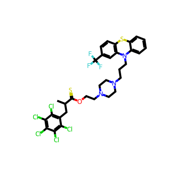 CC(Cc1c(Cl)c(Cl)c(Cl)c(Cl)c1Cl)C(=S)OCCN1CCN(CCCN2c3ccccc3Sc3ccc(C(F)(F)F)cc32)CC1